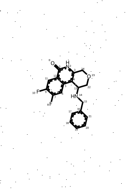 O=c1[nH]c2c(c3cc(F)c(F)cc13)C(NCc1ccccc1)COC2